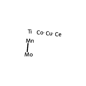 [Ce].[Co].[Cu].[Mn][Mo].[Ti]